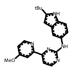 COc1ccnc(-c2ccnc(Nc3ccc4[nH]c(C(C)(C)C)cc4c3)n2)c1